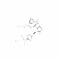 C[C@H](CO)Nc1ncc(C#Cc2c(F)ccc(NS(=O)(=O)c3cc(Cl)cc4c3OCC4CC(=O)O)c2F)cn1